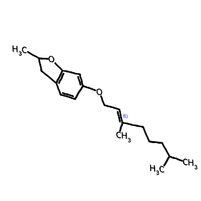 C/C(=C\COc1ccc2c(c1)OC(C)C2)CCCC(C)C